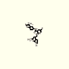 Cc1cc(CNc2ncc(F)cc2C(=O)Nc2ccc3snc(C)c3c2)c2cc[nH]c2n1